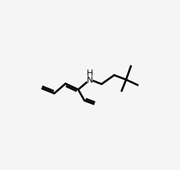 C=C/C=C(\C=C)NCCC(C)(C)C